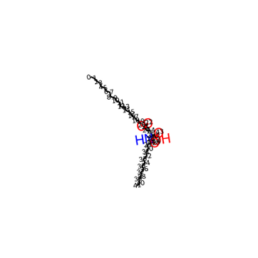 CCCCCCCCCCCCCCCCCCCCOC(=O)CC[C@H](NC(=O)CCCCCCCCCCCCC)C(=O)O